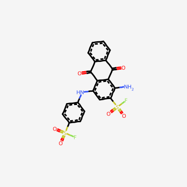 Nc1c(S(=O)(=O)F)cc(Nc2ccc(S(=O)(=O)F)cc2)c2c1C(=O)c1ccccc1C2=O